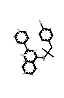 CC(C)(Cc1ccc(F)cc1)Nc1nc(-c2ccncc2)nc2cnccc12